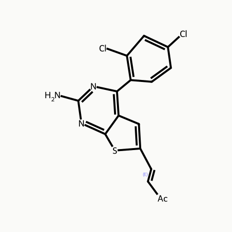 CC(=O)/C=C/c1cc2c(-c3ccc(Cl)cc3Cl)nc(N)nc2s1